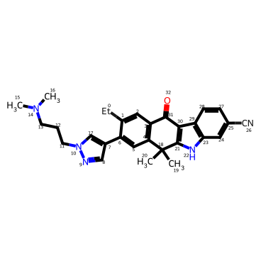 CCc1cc2c(cc1-c1cnn(CCCN(C)C)c1)C(C)(C)c1[nH]c3cc(C#N)ccc3c1C2=O